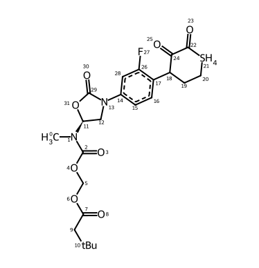 CN(C(=O)OCOC(=O)CC(C)(C)C)[C@@H]1CN(c2ccc(C3CC[SH4]C(=O)C3=O)c(F)c2)C(=O)O1